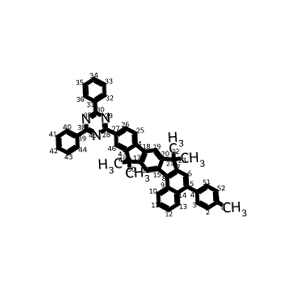 Cc1ccc(-c2cc3c(c4ccccc24)-c2cc4c(cc2C3(C)C)-c2ccc(-c3nc(-c5ccccc5)nc(-c5ccccc5)n3)cc2C4(C)C)cc1